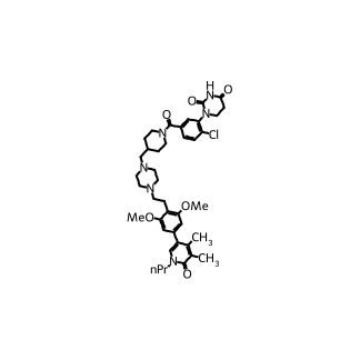 CCCn1cc(-c2cc(OC)c(CCN3CCN(CC4CCN(C(=O)c5ccc(Cl)c(N6CCC(=O)NC6=O)c5)CC4)CC3)c(OC)c2)c(C)c(C)c1=O